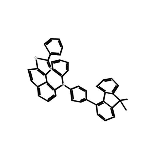 CC1(C)c2ccccc2-c2c(-c3ccc(N(c4ccccc4)c4cccc5ccc6oc(-c7ccccc7)nc6c45)cc3)cccc21